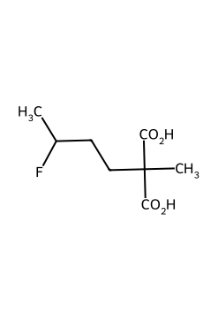 CC(F)CCC(C)(C(=O)O)C(=O)O